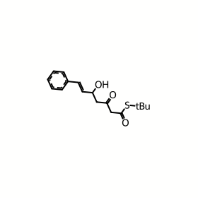 CC(C)(C)SC(=O)CC(=O)CC(O)C=Cc1ccccc1